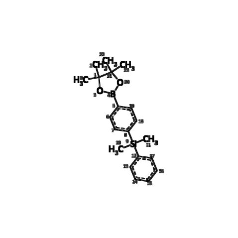 CC1(C)OB(c2ccc([Si](C)(C)c3ccccc3)cc2)OC1(C)C